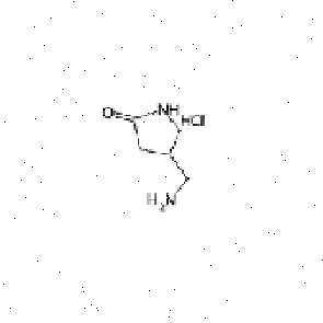 Cl.NCC1CNC(=O)C1